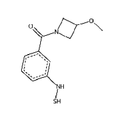 COC1CN(C(=O)c2cccc(NS)c2)C1